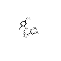 C=C[C@H](OC)[C@@H]1CC[C@H]1CNc1cc(C)ccc1F